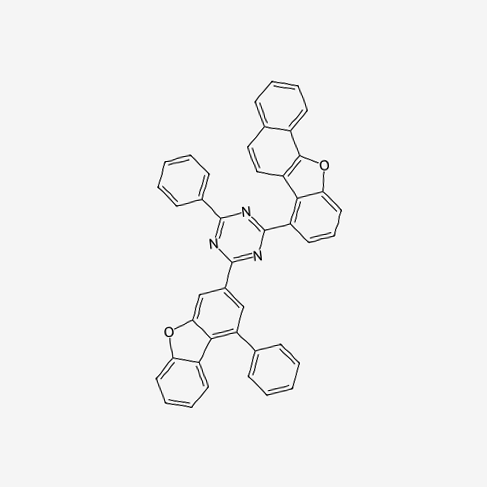 c1ccc(-c2nc(-c3cc(-c4ccccc4)c4c(c3)oc3ccccc34)nc(-c3cccc4oc5c6ccccc6ccc5c34)n2)cc1